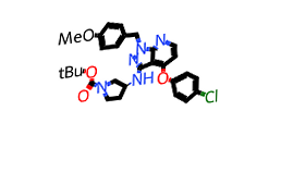 COc1ccc(Cn2nc(N[C@@H]3CCN(C(=O)OC(C)(C)C)C3)c3c(Oc4ccc(Cl)cc4)ccnc32)cc1